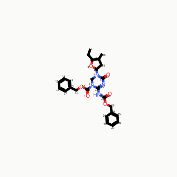 CCC1OC(N2CN(C(=O)OCc3ccccc3)C(NC(=O)OCc3ccccc3)=NC2=O)CC1C